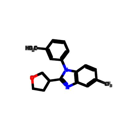 O=C(O)c1cccc(-n2c(C3CCOC3)nc3cc(C(F)(F)F)ccc32)c1